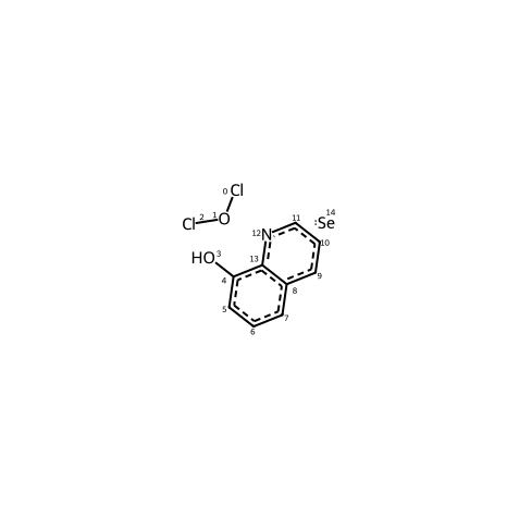 ClOCl.Oc1cccc2cccnc12.[Se]